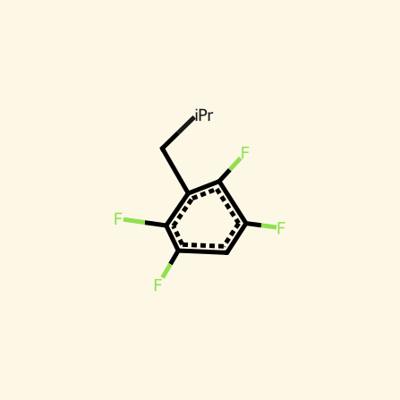 CC(C)Cc1c(F)c(F)cc(F)c1F